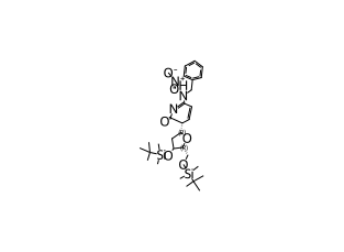 CC(C)(C)[Si](C)(C)OC[C@H]1O[C@@H](C2C=CC(NCc3ccccc3[N+](=O)[O-])=NC2=O)CC1O[Si](C)(C)C(C)(C)C